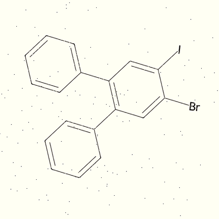 Brc1cc(-c2ccccc2)c(-c2ccccc2)cc1I